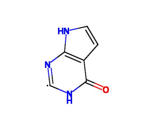 O=c1[nH][c]nc2[nH]ccc12